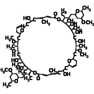 COC1CC(CCC(C)[C@@H]2OC(=O)/C=C/C(C)=C/CC(O)CC3C=CCC(C[C@H](OC)C(C)C(O)C[C@@H](O)[C@H](C)C(O)C(C)C(C(C)CCC4C[C@H](OC)CC(C)O4)OC(=O)/C=C/C(C)=C/CC(O)C[C@@H]4C=CCC(CC(OC)C(C)[C@@H](O)CC(O)C(C)C(O)C2C)O4)O3)O[C@@H](C)C1